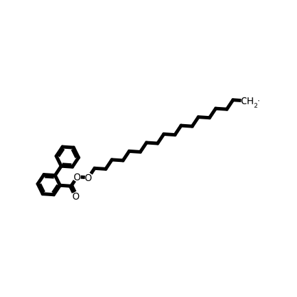 [CH2]CCCCCCCCCCCCCCCCCOOC(=O)c1ccccc1-c1ccccc1